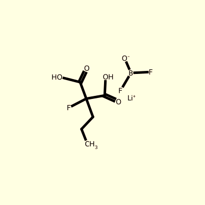 CCCC(F)(C(=O)O)C(=O)O.[Li+].[O-]B(F)F